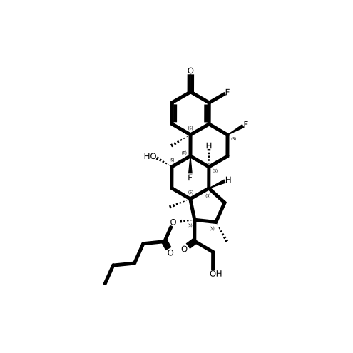 CCCCC(=O)O[C@@]1(C(=O)CO)[C@@H](C)C[C@H]2[C@@H]3C[C@H](F)C4=C(F)C(=O)C=C[C@]4(C)[C@@]3(F)[C@@H](O)C[C@@]21C